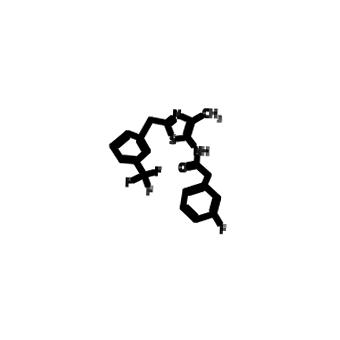 Cc1nc(Cc2cccc(C(F)(F)F)c2)sc1NC(=O)Cc1cccc(F)c1